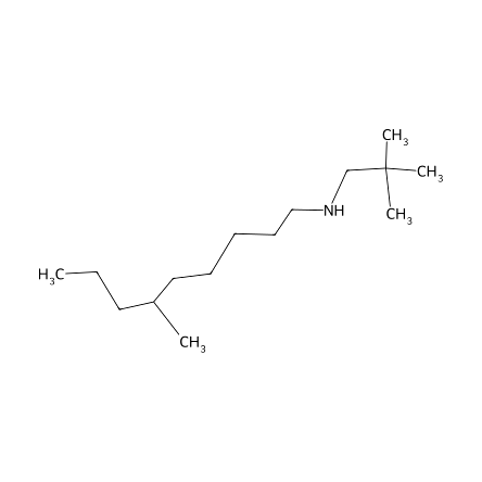 CCCC(C)CCCCCNCC(C)(C)C